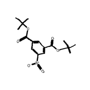 CC(C)(C)OC(=O)c1cc(C(=O)OC(C)(C)C)cc([N+](=O)[O-])c1